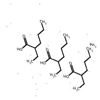 CCCCC(CC)C(=O)O.CCCCC(CC)C(=O)O.CCCCC(CC)C(=O)O.P